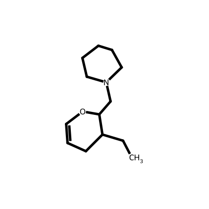 CCC1CC=COC1CN1CCCCC1